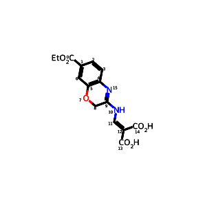 CCOC(=O)c1ccc2c(c1)OCC(NC=C(C(=O)O)C(=O)O)=N2